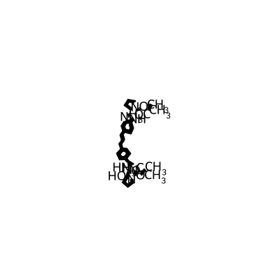 CC(C)(C)OC(=O)N1CCC[C@H]1c1nc2cc(/C=C/Cc3ccc(-c4cnc([C@@]5(O)CCCN5C(=O)OC(C)(C)C)[nH]4)cc3)ccc2[nH]1